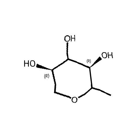 CC1OC[C@@H](O)C(O)[C@H]1O